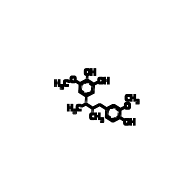 COc1cc(CC(C)C(C)c2cc(O)c(O)c(OC)c2)ccc1O